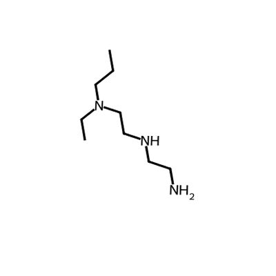 CCCN(CC)CCNCCN